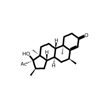 CC(=O)[C@@]1(O)[C@H](C)C[C@H]2[C@@H]3C[C@H](C)C4=CC(=O)CC[C@]4(C)[C@H]3CC[C@@]21C